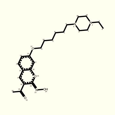 CCN1CCN(CCCCCCOc2ccc3cc(C(C)=O)c(=NO)oc3c2)CC1